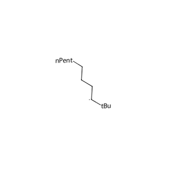 CCCCCCCC[CH]C(C)(C)C